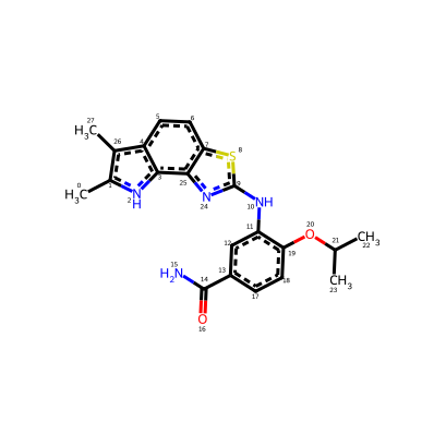 Cc1[nH]c2c(ccc3sc(Nc4cc(C(N)=O)ccc4OC(C)C)nc32)c1C